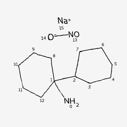 NC1(C2CCCCC2)CCCCC1.O=N[O-].[Na+]